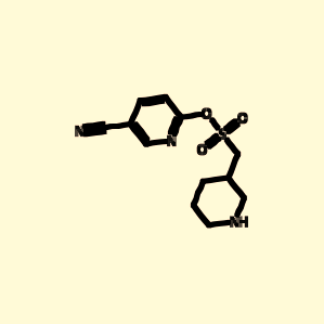 N#Cc1ccc(OS(=O)(=O)CC2CCCNC2)nc1